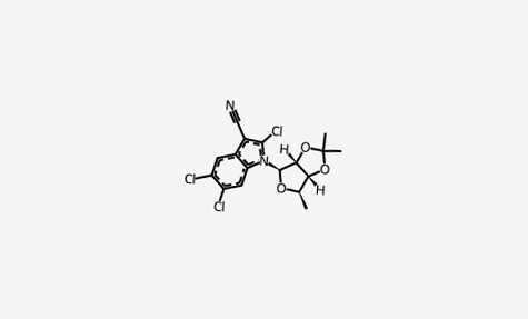 C[C@H]1O[C@@H](n2c(Cl)c(C#N)c3cc(Cl)c(Cl)cc32)[C@@H]2OC(C)(C)O[C@@H]21